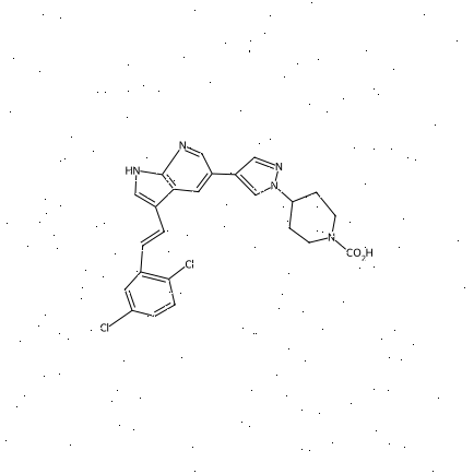 O=C(O)N1CCC(n2cc(-c3cnc4[nH]cc(/C=C/c5cc(Cl)ccc5Cl)c4c3)cn2)CC1